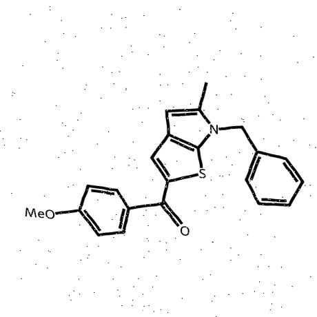 COc1ccc(C(=O)c2cc3cc(C)n(Cc4ccccc4)c3s2)cc1